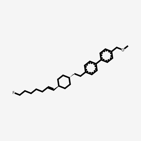 COCc1ccc(-c2ccc(CC[C@H]3CC[C@H](/C=C/CCCCCF)CC3)cc2)cc1